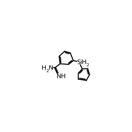 N=C(N)c1cccc([SiH2]c2ccccc2)c1